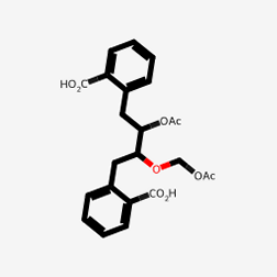 CC(=O)OCOC(Cc1ccccc1C(=O)O)C(Cc1ccccc1C(=O)O)OC(C)=O